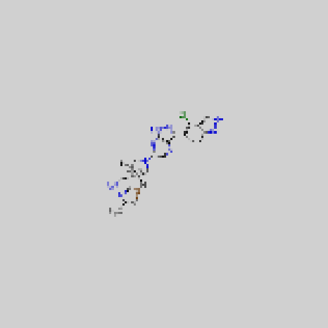 Cc1csc(C2(CN)[C@@H]3CN(c4cnc5c(-c6ccc7n[nH]cc7c6Cl)n[nH]c5n4)C[C@@H]32)n1